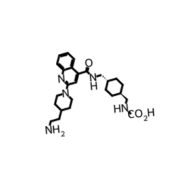 NCCC1CCN(c2cc(C(=O)NC[C@H]3CC[C@H](CNC(=O)O)CC3)c3ccccc3n2)CC1